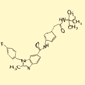 Cc1nc2ccc(C(=O)Nc3ccc(CC(=O)NC(C)(C)C)cc3)cc2n1-c1ccc(F)cc1